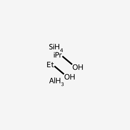 CC(C)O.CCO.[AlH3].[SiH4]